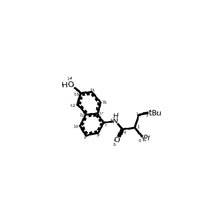 CC(C)C(CC(C)(C)C)C(=O)Nc1cccc2cc(O)ccc12